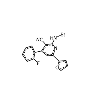 CCNc1nc(-c2ccco2)cc(-c2ccccc2F)c1C#N